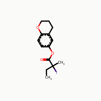 CCC(C)(I)C(=O)Oc1ccc2c(c1)CCCO2